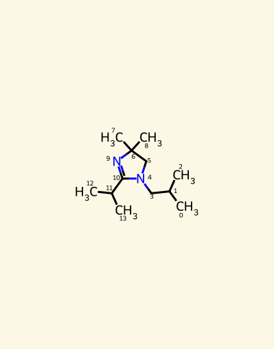 CC(C)CN1CC(C)(C)N=C1C(C)C